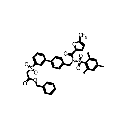 Cc1cc(C)c(S(=O)(=O)N(Cc2ccc(-c3cccc(S(=O)(=O)CC(=O)OCc4ccccc4)c3)cc2)C(=O)c2ccc(C(F)(F)F)o2)c(C)c1